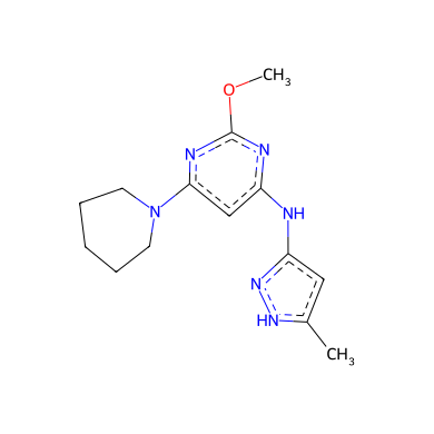 COc1nc(Nc2cc(C)[nH]n2)cc(N2CCCCC2)n1